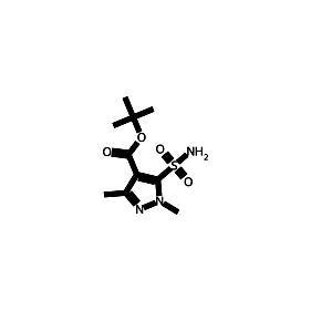 Cc1nn(C)c(S(N)(=O)=O)c1C(=O)OC(C)(C)C